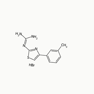 Br.Cc1cccc(-c2csc(N=C(N)N)n2)c1